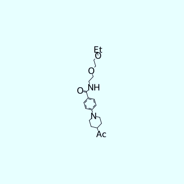 CCOCCOCCNC(=O)c1ccc(N2CCC(C(C)=O)CC2)cc1